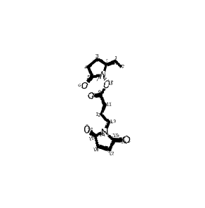 C/C=C1/CCC(=O)N1OC(=O)CCCN1C(=O)C=CC1=O